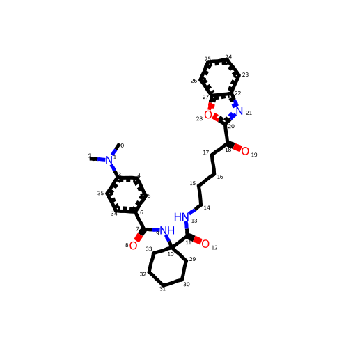 CN(C)c1ccc(C(=O)NC2(C(=O)NCCCCC(=O)c3nc4ccccc4o3)CCCCC2)cc1